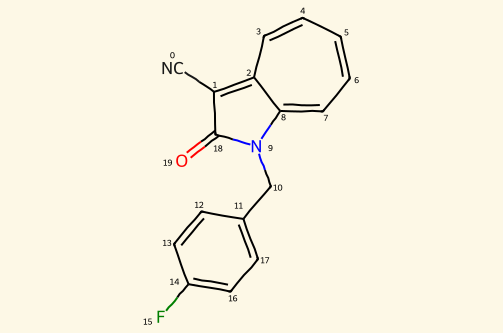 N#Cc1c2cccccc-2n(Cc2ccc(F)cc2)c1=O